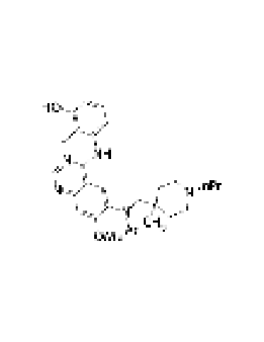 CCCN1CCC(C)(CN(C(C)=O)c2cc3c(Nc4cccc(O)c4F)ncnc3cc2OC)CC1